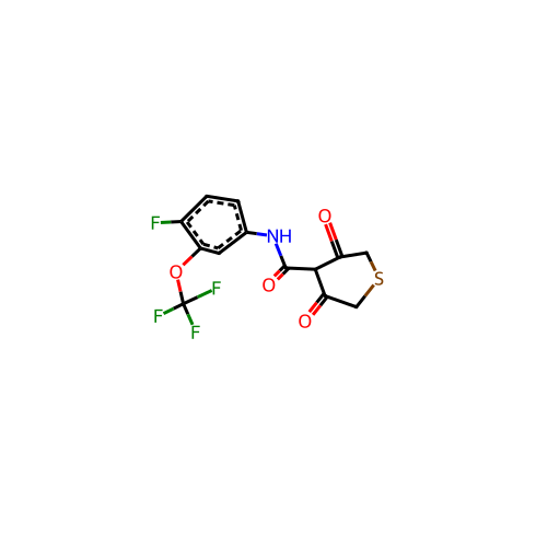 O=C1CSCC(=O)C1C(=O)Nc1ccc(F)c(OC(F)(F)F)c1